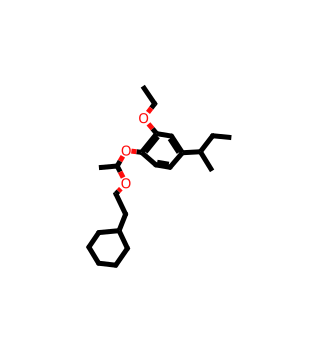 CCOc1cc(C(C)CC)ccc1OC(C)OCCC1CCCCC1